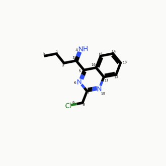 CCCC(=N)c1nc(CCl)nc2ccccc12